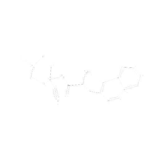 CN1CCC(C#N)(NC(=O)C(N)Cc2ccc3ccccc3c2)CC1